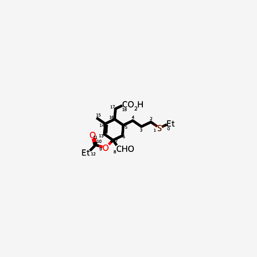 CCSCCCC1CC(C=O)(OC(=O)CC)C=C(C)C1CC(=O)O